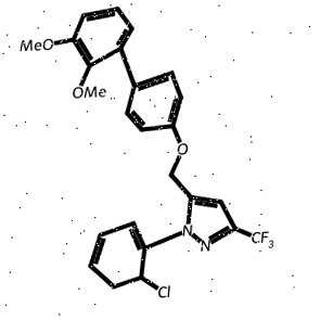 COc1cccc(-c2ccc(OCc3cc(C(F)(F)F)nn3C3=CC=CCC3Cl)cc2)c1OC